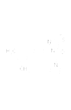 Cc1cc(C)cc(-c2ccc(-c3nc4ccsc4c(=O)n3CCN3CCCCC3)cc2)c1